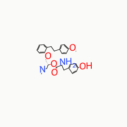 COc1ccc(CCc2ccccc2OC[C@@H](CN(C)C)OC(=O)[C@H](N)Cc2ccc(O)cc2)cc1